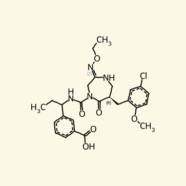 CCO/N=C1/CN(C(=O)NC(CC)c2cccc(C(=O)O)c2)C(=O)[C@H](Cc2cc(Cl)ccc2OC)CN1